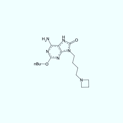 CCCCOc1nc(N)c2[nH]c(=O)n(CCCCN3CCC3)c2n1